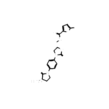 N[C@@H]1CCN(c2ccc(N3C[C@H](CNC(=O)c4ccc(Cl)s4)OC3=O)cc2)C1=O